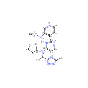 CCC1c2nnc(C)n2-c2cnc(-c3ccncc3N(C)C(=O)O)nc2N1C1CCCC1